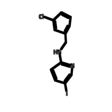 Clc1cccc(CNc2ccc(I)cn2)c1